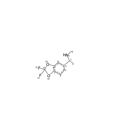 CNC(C)c1ccc2c(c1)OC(F)(F)O2